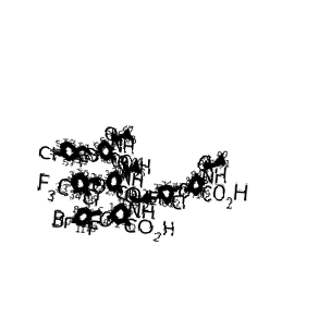 O=C(O)c1cc(OCc2ccc(Br)cc2F)ccc1NC(=O)C1CC1.O=C(O)c1cc(OCc2ccc(C(F)(F)F)cc2Cl)ccc1NC(=O)C1CC1.O=C(O)c1cc(OCc2ccc(Cl)cc2F)ccc1NC(=O)C1CC1.O=C(O)c1cc(OCc2ccc(F)cc2Cl)ccc1NC(=O)C1CC1